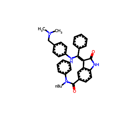 CCCCN(C(=O)c1ccc2c(c1)C(=C(Nc1ccc(CN(C)C)cc1)c1ccccc1)C(=O)N2)c1ccccc1